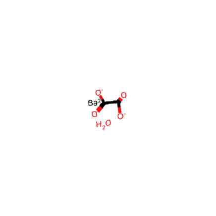 O.O=C([O-])C(=O)[O-].[Ba+2]